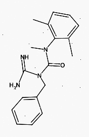 Cc1cccc(C)c1N(C)C(=O)N(Cc1ccccc1)C(=N)N